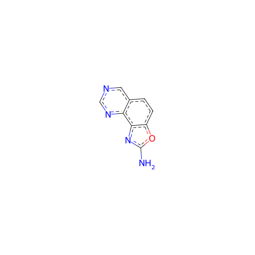 Nc1nc2c(ccc3cncnc32)o1